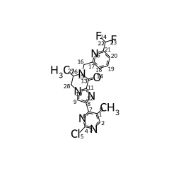 Cc1cnc(Cl)nc1-c1cn2c(n1)C(=O)N(Cc1cccc(C(F)F)n1)C(C)C2